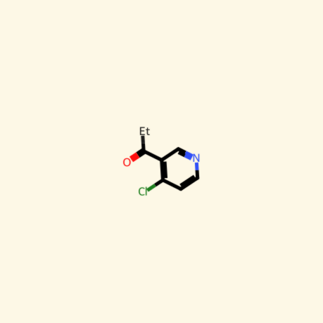 CCC(=O)c1cnccc1Cl